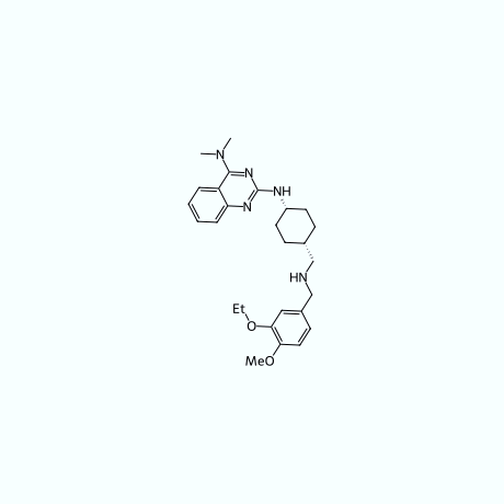 CCOc1cc(CNC[C@H]2CC[C@@H](Nc3nc(N(C)C)c4ccccc4n3)CC2)ccc1OC